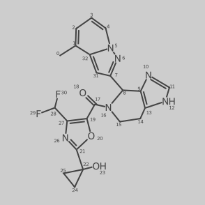 Cc1cccn2nc(C3c4nc[nH]c4CCN3C(=O)c3oc(C4(O)CC4)nc3C(F)F)cc12